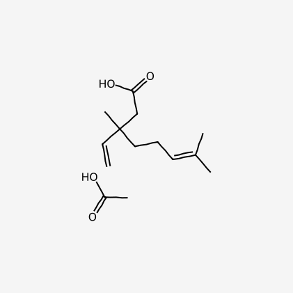 C=CC(C)(CCC=C(C)C)CC(=O)O.CC(=O)O